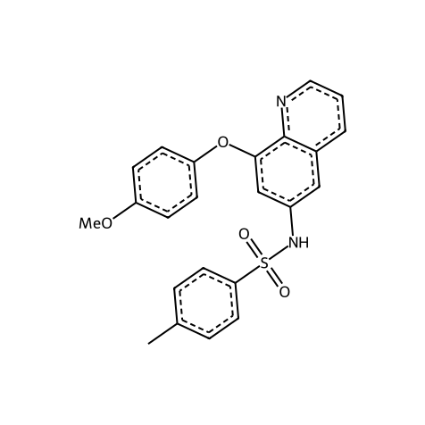 COc1ccc(Oc2cc(NS(=O)(=O)c3ccc(C)cc3)cc3cccnc23)cc1